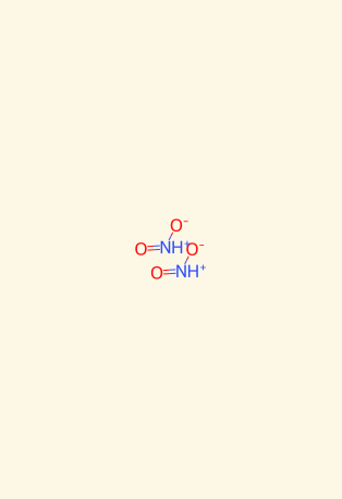 O=[NH+][O-].O=[NH+][O-]